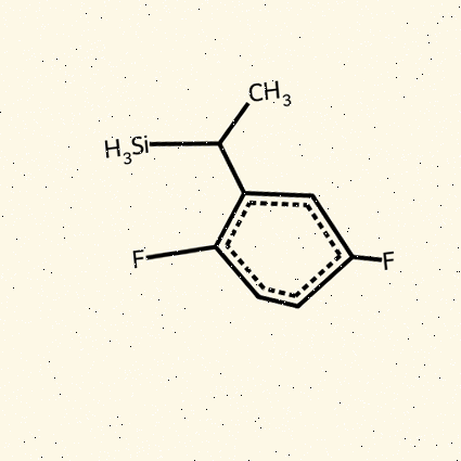 CC([SiH3])c1cc(F)ccc1F